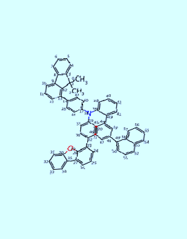 CC1(C)c2ccccc2-c2cccc(-c3ccc(N(c4ccc(-c5cccc6c5oc5ccccc56)cc4)c4ccccc4-c4cccc(-c5cccc6ccccc56)c4)cc3)c21